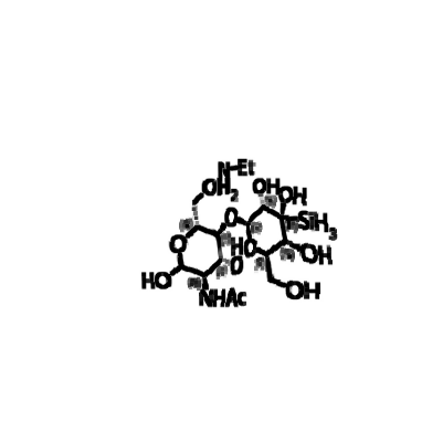 CC(=O)N[C@H]1C(O)O[C@H](CO)[C@@H](O[C@@H]2O[C@H](CO)[C@H](O)[C@@](O)([SiH3])[C@H]2O)[C@@H]1O.CCN